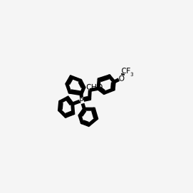 O=CC(C=P(c1ccccc1)(c1ccccc1)c1ccccc1)c1ccc(OC(F)(F)F)cc1